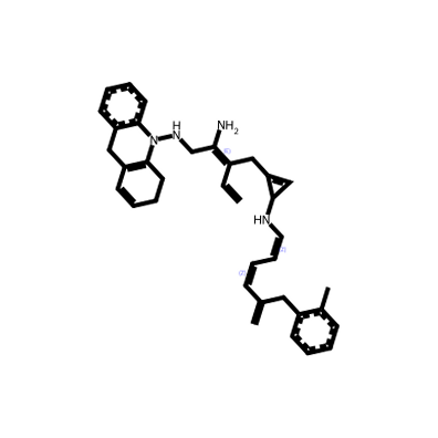 C=C/C(CC1=CC1N/C=C\C=C/C(=C)Cc1ccccc1C)=C(/N)CNN1C2=C(C=CCC2)Cc2ccccc21